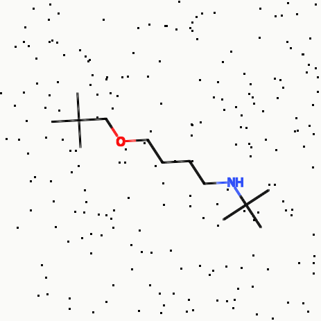 CC(C)(C)COCCCCNC(C)(C)C